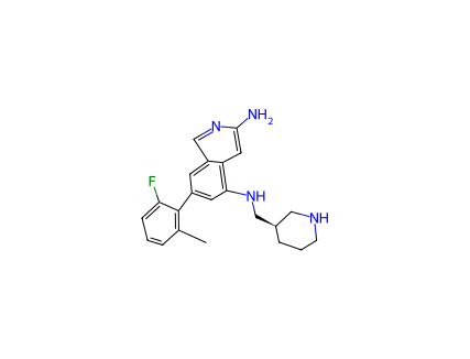 Cc1cccc(F)c1-c1cc(NC[C@@H]2CCCNC2)c2cc(N)ncc2c1